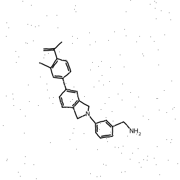 C=C(C)c1ccc(-c2ccc3c(c2)CN(c2cccc(CN)c2)C3)cc1C